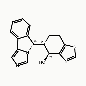 O[C@@H]1c2ncsc2CC[C@H]1[C@H]1c2ccccc2-c2cncn21